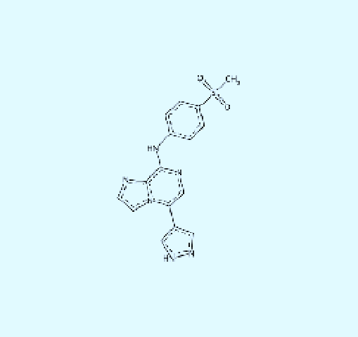 CS(=O)(=O)c1ccc(Nc2ncc(-c3cn[nH]c3)n3ccnc23)cc1